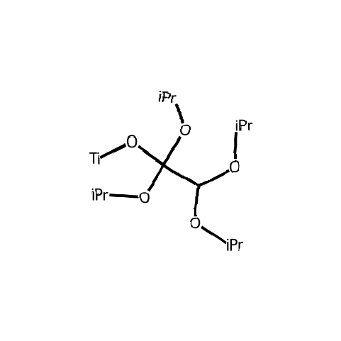 CC(C)OC(OC(C)C)C([O][Ti])(OC(C)C)OC(C)C